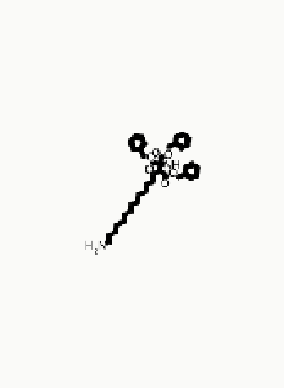 NCCCCCCCCCCCCCCC(C(=O)OCc1ccccc1)C(N)(C(=O)OCc1ccccc1)C(=O)OCc1ccccc1